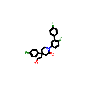 O=C1CC(CCO)(c2ccc(F)cc2)CCN1c1ccc(F)c(-c2ccc(F)cc2)c1